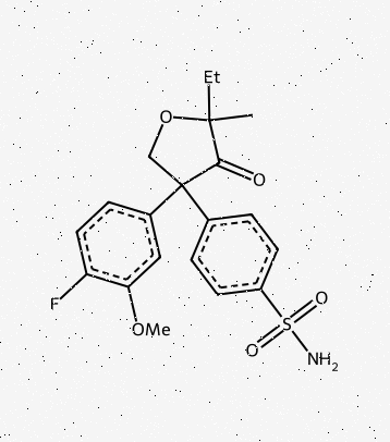 CCC1(C)OCC(c2ccc(S(N)(=O)=O)cc2)(c2ccc(F)c(OC)c2)C1=O